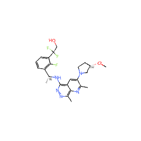 CO[C@H]1CCN(c2cc3c(N[C@H](C)c4cccc(C(F)(F)CO)c4F)nnc(C)c3nc2C)C1